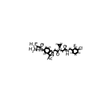 CC(=O)c1nn(CC(=O)N(CC(=O)NCc2cccc(Cl)c2F)C2CC2)c2ccc(NC(=O)C(C)N)cc12